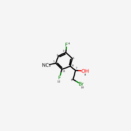 N#Cc1cc(F)cc(C(O)CBr)c1F